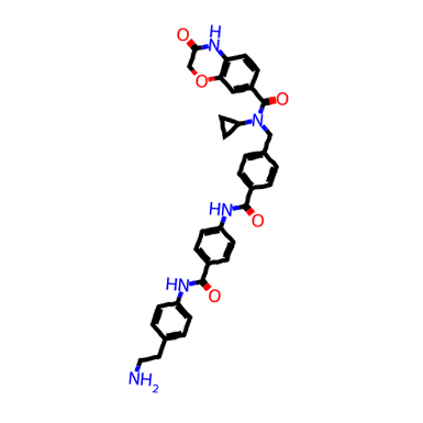 NCCc1ccc(NC(=O)c2ccc(NC(=O)c3ccc(CN(C(=O)c4ccc5c(c4)OCC(=O)N5)C4CC4)cc3)cc2)cc1